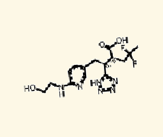 CC(F)(F)C[C@H](C(=O)O)[C@H](Cc1ccc(NCCO)nc1)c1nnn[nH]1